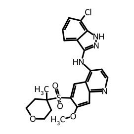 COc1cc2nccc(Nc3n[nH]c4c(Cl)cccc34)c2cc1S(=O)(=O)C1(C)CCOCC1